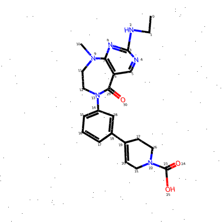 CCNc1ncc2c(n1)N(C)CCN(c1cccc(C3=CCN(C(=O)O)CC3)c1)C2=O